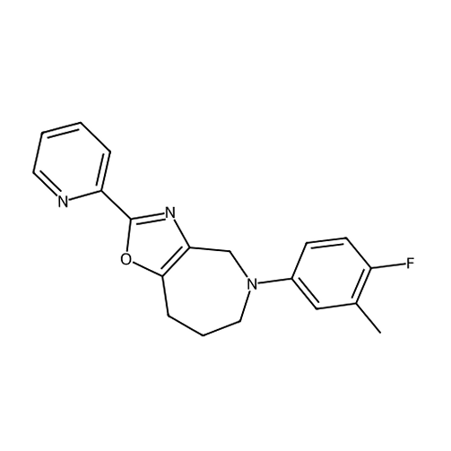 Cc1cc(N2CCCc3oc(-c4ccccn4)nc3C2)ccc1F